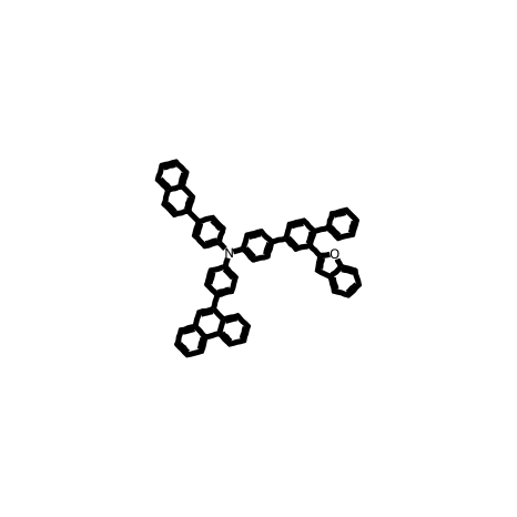 c1ccc(-c2ccc(-c3ccc(N(c4ccc(-c5ccc6ccccc6c5)cc4)c4ccc(-c5cc6ccccc6c6ccccc56)cc4)cc3)cc2-c2cc3ccccc3o2)cc1